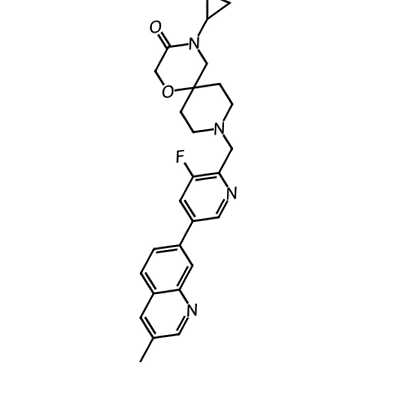 Cc1cnc2cc(-c3cnc(CN4CCC5(CC4)CN(C4CC4)C(=O)CO5)c(F)c3)ccc2c1